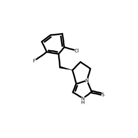 Fc1cccc(Cl)c1C[C@H]1CCn2c1c[nH]c2=S